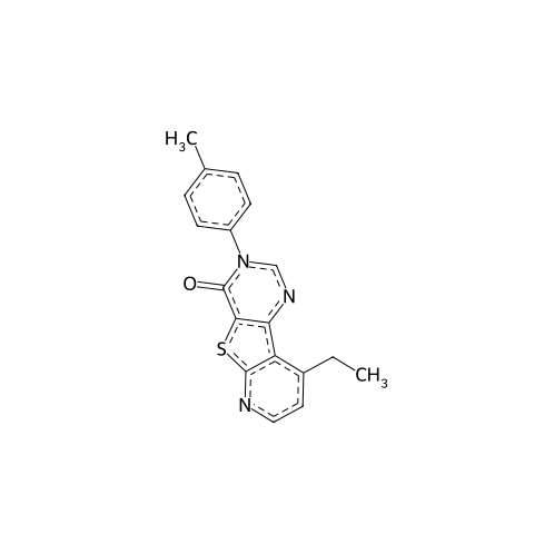 CCc1ccnc2sc3c(=O)n(-c4ccc(C)cc4)cnc3c12